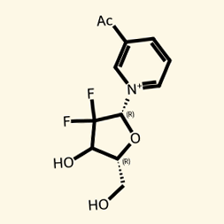 CC(=O)c1ccc[n+]([C@@H]2O[C@H](CO)C(O)C2(F)F)c1